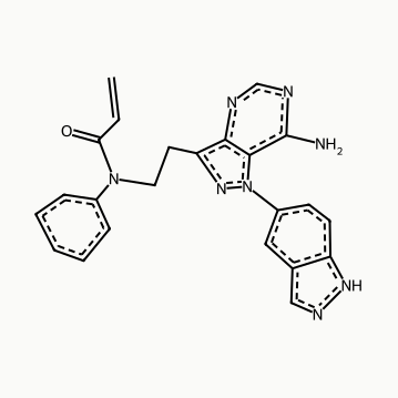 C=CC(=O)N(CCc1nn(-c2ccc3[nH]ncc3c2)c2c(N)ncnc12)c1ccccc1